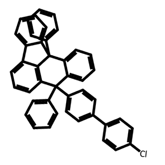 Clc1ccc(-c2ccc(C3(c4ccccc4)c4ccccc4C4(c5ccccc5)c5ccccc5-c5cccc3c54)cc2)cc1